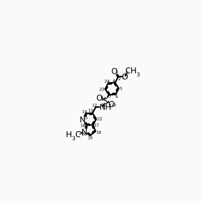 COC(=O)c1ccc(S(=O)(=O)NCc2cnc3c(ccn3C)c2)cc1